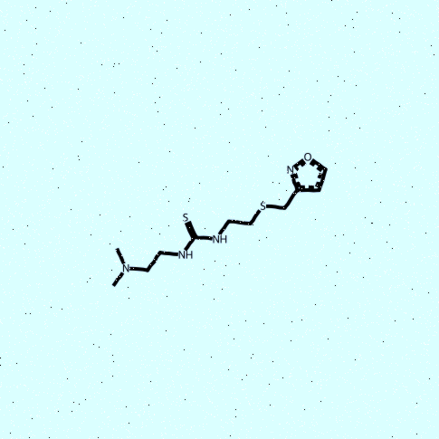 CN(C)CCNC(=S)NCCSCc1ccon1